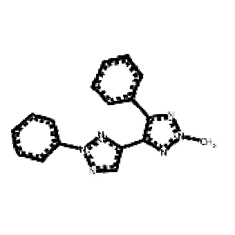 Cn1nc(-c2ccccc2)c(-c2cnn(-c3ccccc3)n2)n1